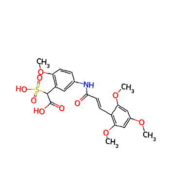 COc1cc(OC)c(C=CC(=O)Nc2ccc(OC)c(C(C(=O)O)S(=O)(=O)O)c2)c(OC)c1